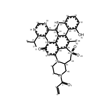 C=CC(=O)N1CCN2c3nc(=O)n(-c4c(C(C)C)ncnc4C(C)C)c4c(Cl)c(-c5c(O)cccc5F)c(F)c(c34)S(=O)(=O)CC2C1